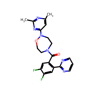 Cc1cc(N2CCN(C(=O)c3cc(F)c(F)cc3-c3ncccn3)CCO2)nc(C)n1